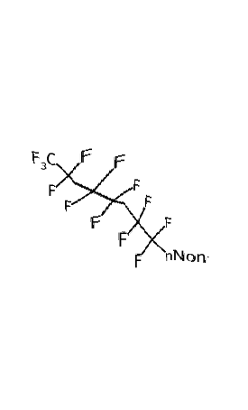 CCCCCCCC[CH]C(F)(F)C(F)(F)C(F)(F)C(F)(F)C(F)(F)C(F)(F)F